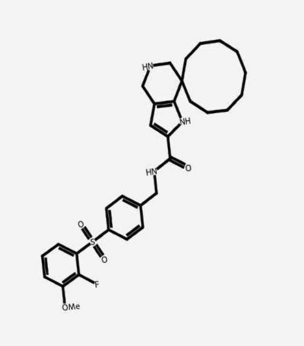 COc1cccc(S(=O)(=O)c2ccc(CNC(=O)c3cc4c([nH]3)C3(CCCCCCCCC3)CNC4)cc2)c1F